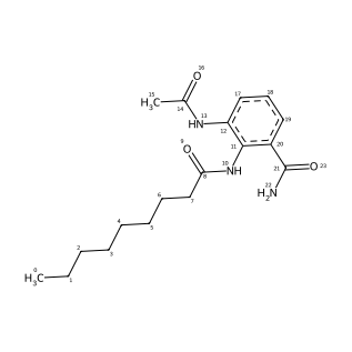 CCCCCCCCC(=O)Nc1c(NC(C)=O)cccc1C(N)=O